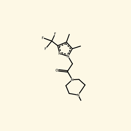 Cc1c(C(F)(F)F)nn(CC(=O)N2CCN(C)CC2)c1C